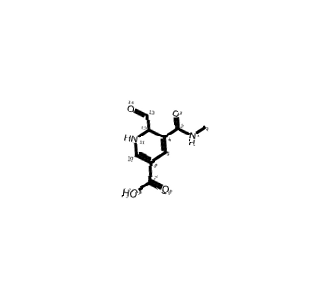 CNC(=O)C1=CC(C(=O)O)=CNC1C=O